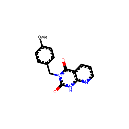 COc1ccc(Cn2c(=O)[nH]c3ncccc3c2=O)cc1